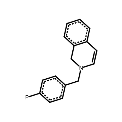 Fc1ccc(CN2C=Cc3ccccc3C2)cc1